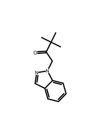 CC(C)(C)C(=O)Cn1ncc2ccccc21